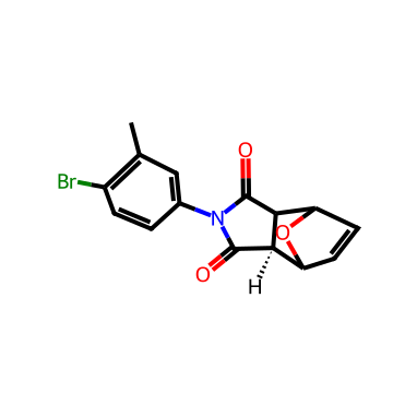 Cc1cc(N2C(=O)C3C4C=CC(O4)[C@H]3C2=O)ccc1Br